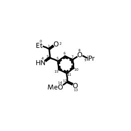 CCC(=O)C(=N)c1cc(OC(C)C)cc(C(=O)OC)c1